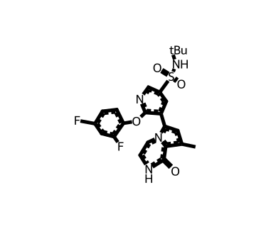 Cc1cc(-c2cc(S(=O)(=O)NC(C)(C)C)cnc2Oc2ccc(F)cc2F)n2cc[nH]c(=O)c12